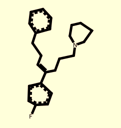 Fc1ccc(C(=CCCc2ccccc2)CCCN2CCCCC2)cc1